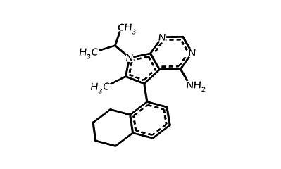 Cc1c(-c2cccc3c2CCCC3)c2c(N)ncnc2n1C(C)C